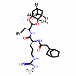 CC(C)C[C@H](NC(=O)[C@H](CCCNC(=N)N[N+](=O)[O-])NC(=O)CC1CC2CCC1C2)B1O[C@@H]2C[C@@H]3C[C@@H](C3(C)C)[C@]2(C)O1